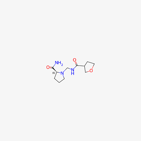 NC(=O)[C@@H]1CCCN1CNC(=O)C1CCOC1